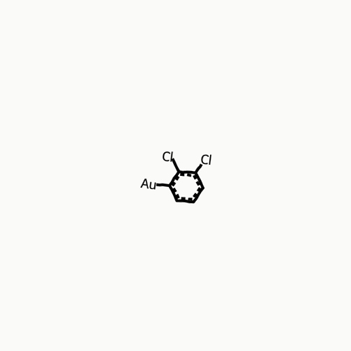 Clc1ccc[c]([Au])c1Cl